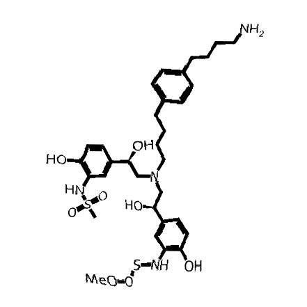 COOSNc1cc([C@@H](O)CN(CCCCc2ccc(CCCCN)cc2)C[C@H](O)c2ccc(O)c(NS(C)(=O)=O)c2)ccc1O